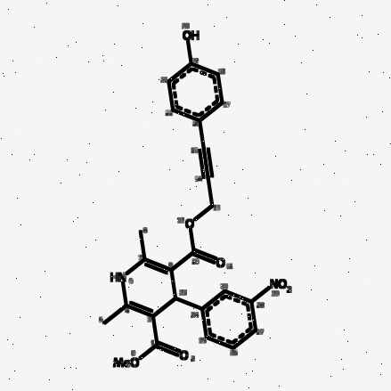 COC(=O)C1=C(C)NC(C)=C(C(=O)OCC#Cc2ccc(O)cc2)C1c1cccc([N+](=O)[O-])c1